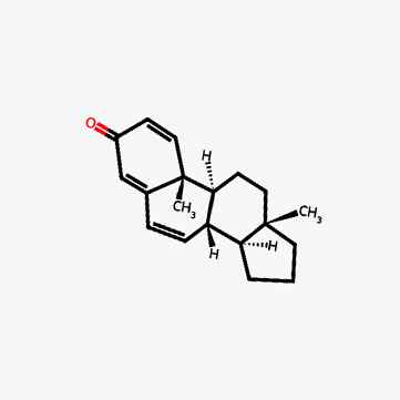 C[C@@]12CCC[C@H]1[C@@H]1C=CC3=CC(=O)C=C[C@]3(C)[C@H]1CC2